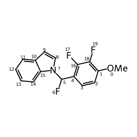 COc1ccc(C(F)n2ccc3ccccc32)c(F)c1F